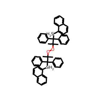 CC(C)(OOC(C)(C)C([SiH2]c1cccc2ccccc12)(c1ccccc1)c1ccccc1)C([SiH2]c1cccc2ccccc12)(c1ccccc1)c1ccccc1